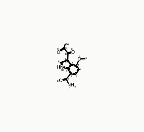 COc1ccc(C(N)=O)c2[nH]cc(C(=O)C(C)=O)c12